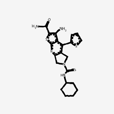 NC(=O)c1sc2nc3c(c(-c4cccs4)c2c1N)CN(C(=S)NC1CCCCC1)C3